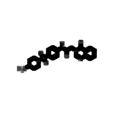 CC1CCN(S(=O)(=O)c2ccc(NC(=O)Cn3cnc4ccccc4c3=O)cc2)CC1